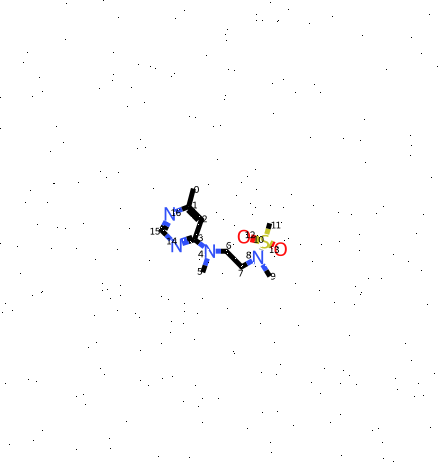 Cc1cc(N(C)CCN(C)S(C)(=O)=O)ncn1